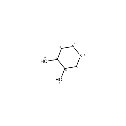 OC1CSSCC1O